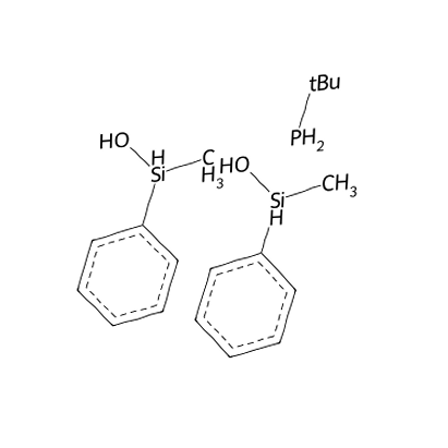 CC(C)(C)P.C[SiH](O)c1ccccc1.C[SiH](O)c1ccccc1